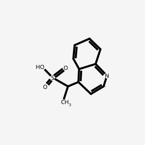 CC(c1c[c]nc2ccccc12)S(=O)(=O)O